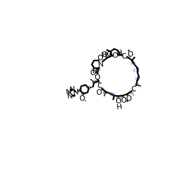 CO[C@H]1C[C@@H]2CCC(C)[C@@](O)(O2)C(=O)C(=O)N2CCCC[C@H]2C(=O)O[C@H]([C@H](C)C[C@@H]2CC[C@H](n3cnnn3)[C@H](OC)C2)CC(=O)[C@H](C)/C=C(\C)[C@@H](O)[C@@H](OC)C(=O)[C@@H](C)C[C@H](C)/C=C/C=C/C=C/1C